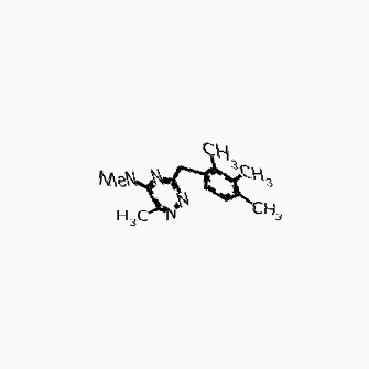 CNc1nc(Cc2ccc(C)c(C)c2C)nnc1C